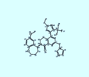 CCn1cc(-c2cc(Cn3ccnc3)cc3c2CCN([C@H]2CCCOc4ccc(OC)cc42)C3=O)c(C(F)(F)F)n1